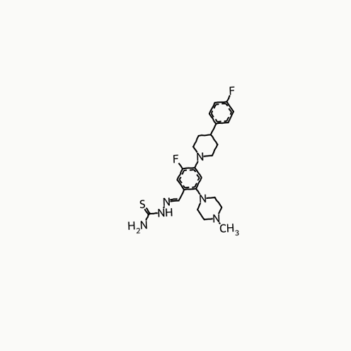 CN1CCN(c2cc(N3CCC(c4ccc(F)cc4)CC3)c(F)cc2/C=N/NC(N)=S)CC1